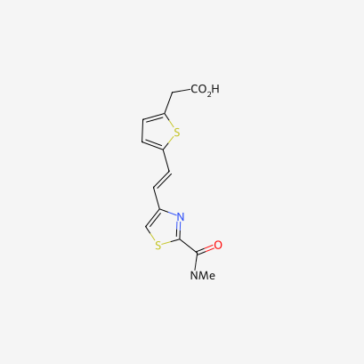 CNC(=O)c1nc(C=Cc2ccc(CC(=O)O)s2)cs1